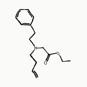 C=CCCN(CCc1ccccc1)CC(=O)OCC